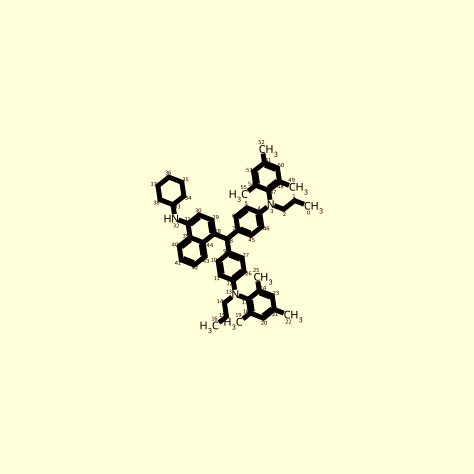 CCCN(c1ccc(C(c2ccc(N(CCC)c3c(C)cc(C)cc3C)cc2)c2ccc(NC3CCCCC3)c3ccccc23)cc1)c1c(C)cc(C)cc1C